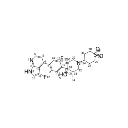 Cc1cc(-c2ccnc3[nH]cc(F)c23)cc(F)c1[C@@]1(O)[C@H](C)CN(C2CCS(=O)(=O)CC2)C[C@@H]1C